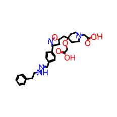 O=C(O)COC1(CC2CC(c3ccc(C=NNCCc4ccccc4)cc3)=NO2)CCN(CC(=O)O)CC1